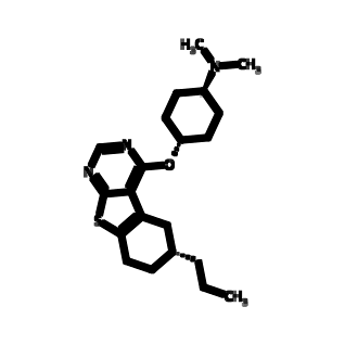 CCC[C@@H]1CCc2sc3ncnc(O[C@H]4CC[C@H](N(C)C)CC4)c3c2C1